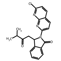 CC(C)C(=O)CC1c2ccccc2C(=O)N1c1ccc2ccc(Cl)nc2n1